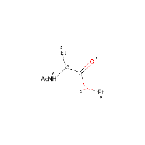 CCOC(=O)C(CC)NC(C)=O